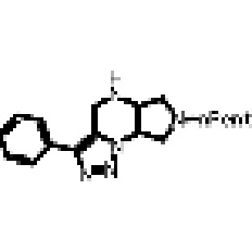 CCCCCN1CC2NCc3c(-c4ccccc4)nnn3C2C1